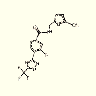 Cc1ccc(CNC(=O)c2ccc(-c3noc(C(F)(F)F)n3)c(F)c2)o1